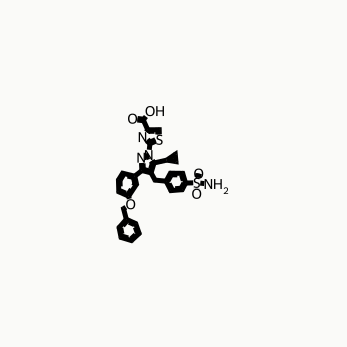 NS(=O)(=O)c1ccc(Cc2c(-c3cccc(OCc4ccccc4)c3)nn(-c3nc(C(=O)O)cs3)c2C2CC2)cc1